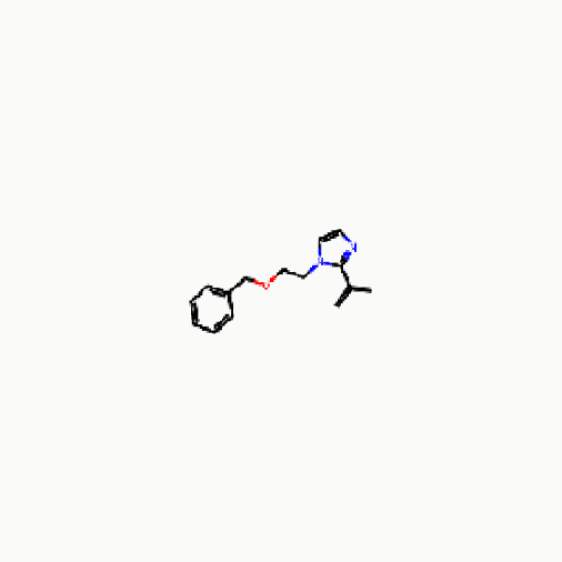 C=C(C)c1nccn1CCOCc1ccccc1